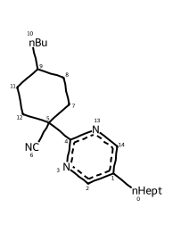 CCCCCCCc1cnc(C2(C#N)CCC(CCCC)CC2)nc1